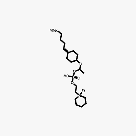 CCCCCCCCCCCCCC=C1CCC(OC(C)OP(=O)(O)OCC[N+]2(CC)CCCCC2)CC1